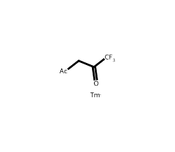 CC(=O)CC(=O)C(F)(F)F.[Tm]